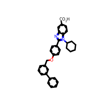 O=C(O)c1ccc2c(c1)nc(-c1ccc(OCc3cccc(-c4ccccc4)c3)cc1)n2C1CCCCC1